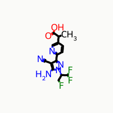 CC(C(=O)O)c1ccc(-c2nn(C(CF)C(F)F)c(N)c2C#N)nc1